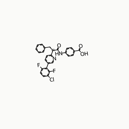 O=C(O)c1ccc(NC(=O)[C@H](Cc2ccccc2)c2ccc(-c3c(F)ccc(Cl)c3F)cn2)cc1